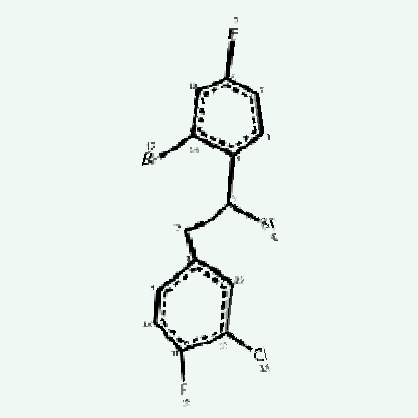 Fc1ccc(C(Br)Cc2ccc(F)c(Cl)c2)c(Br)c1